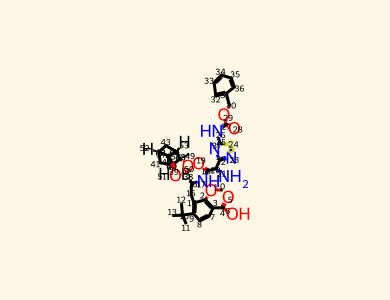 COc1c(C(=O)O)ccc(C(C)(C)C)c1CC(NC(=O)C(N)c1nsc(NC(=O)OCc2ccccc2)n1)B1O[C@@H]2C[C@@H]3C[C@@H](C3(C)C)[C@]2(C)O1